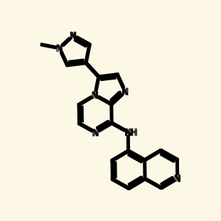 Cn1cc(-c2cnc3c(Nc4cccc5cnccc45)nccn23)cn1